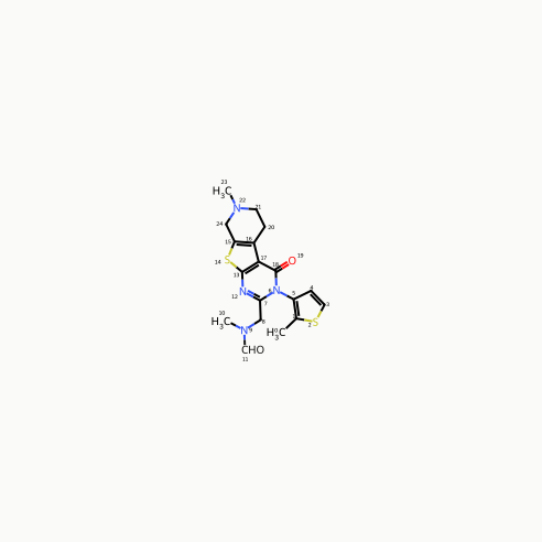 Cc1sccc1-n1c(CN(C)C=O)nc2sc3c(c2c1=O)CCN(C)C3